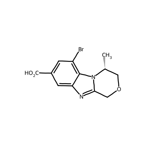 C[C@@H]1COCc2nc3cc(C(=O)O)cc(Br)c3n21